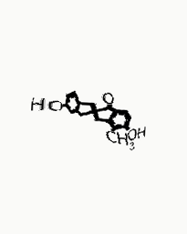 Cc1c(O)ccc2c1CC1(Cc3ccc(O)cc3C1)C2=O